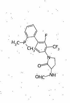 CP(C)c1ccccc1-c1ccc(N2CCC(NC=O)C2=O)c(C(F)(F)F)c1F